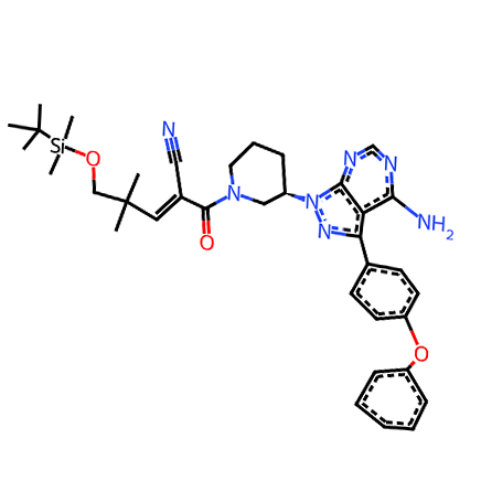 CC(C)(/C=C(\C#N)C(=O)N1CCC[C@@H](n2nc(-c3ccc(Oc4ccccc4)cc3)c3c(N)ncnc32)C1)CO[Si](C)(C)C(C)(C)C